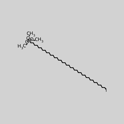 CCO[Si](CCCCCCCCCCCCCCCCCCCCCCCCCCCCCCCCCCCCCCI)(OCC)OCC